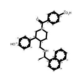 C[C@@H](NCC1CCN(C(=O)c2ccc(C(=O)O)cc2)CC1c1ccccc1)c1cccc2ccccc12.Cl